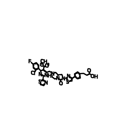 COC(=O)C1=C(CN2CCN3C(=O)N(c4nc(-c5ccc(CCC(=O)O)cc5)cs4)CC3C2)NC(c2nccs2)=NC1c1ccc(F)cc1Cl